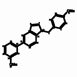 COc1ccc(Cn2ccc3cc(-c4cccc(OC)c4)ccc32)cc1